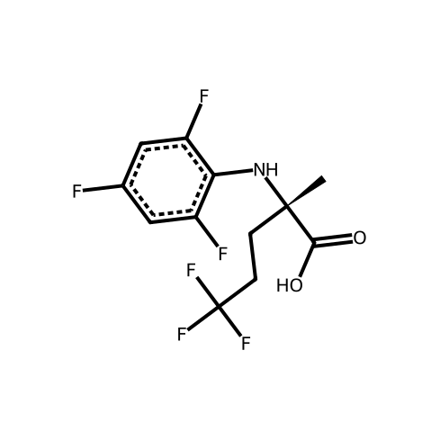 C[C@@](CCC(F)(F)F)(Nc1c(F)cc(F)cc1F)C(=O)O